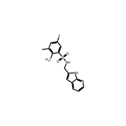 Cc1c(I)cc(F)cc1S(=O)(=O)NCc1cc2cccnc2[nH]1